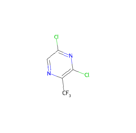 FC(F)(F)c1ncc(Cl)nc1Cl